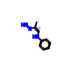 C/C(=C/Nc1ccccc1)N=N